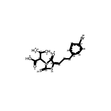 CC(C)C(C(=O)O)N1C(=O)/C(=C\CCc2ccc(Br)cc2)SC1=S